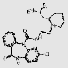 CCN(CC)CC1CCCCN1CCNC(=O)N1c2ccccc2C(=O)Nc2ccc(Cl)nc21